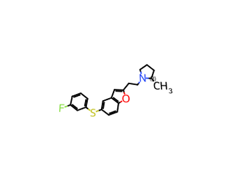 C[C@@H]1CCCN1CCc1cc2cc(Sc3cccc(F)c3)ccc2o1